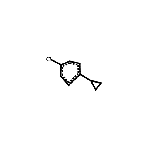 Clc1ccc(C2CC2)cc1